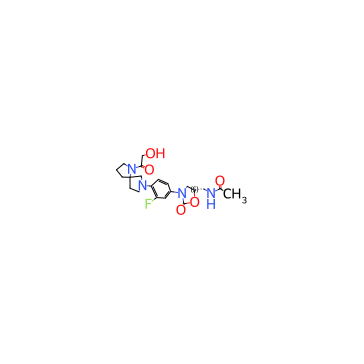 CC(=O)NC[C@H]1CN(c2ccc(N3CCC4(CCCN4C(=O)CO)C3)c(F)c2)C(=O)O1